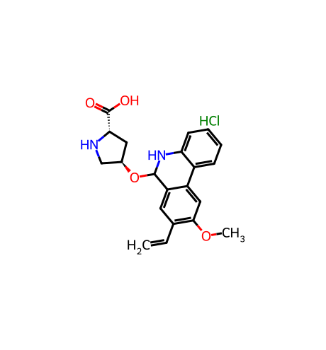 C=Cc1cc2c(cc1OC)-c1ccccc1NC2O[C@H]1CN[C@H](C(=O)O)C1.Cl